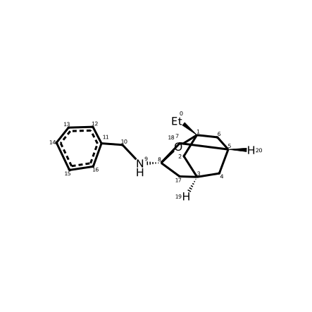 CC[C@]12C[C@H]3C[C@@H](C1)C[C@@](NCc1ccccc1)(C3)O2